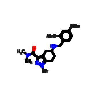 CCCn1nc(C(=O)N(C)C)c2c1CCC(NCc1ccc(OC)cc1OC)C2